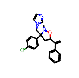 C=C(c1ccccc1)C1CC(Cn2ccnc2)(c2ccc(Cl)cc2)N(C)O1